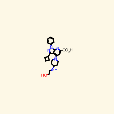 O=C(O)c1cc(N2CCC(NCCO)CC2)c2c(C3CCC3)nn(-c3ccccc3)c2n1